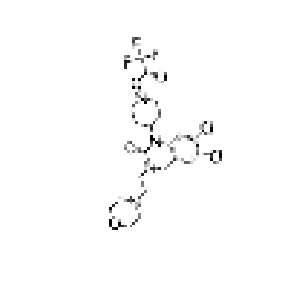 O=C1N(CCN2CCOCC2)Cc2cc(Cl)c(Cl)cc2N1C1CCN(OC(=O)C(F)(F)F)CC1